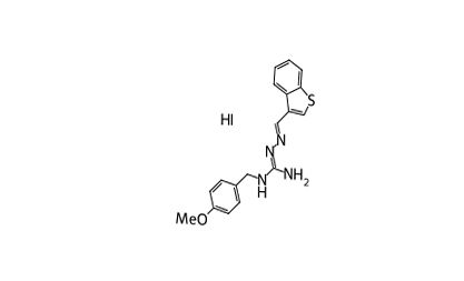 COc1ccc(CN/C(N)=N/N=C/c2csc3ccccc23)cc1.I